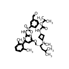 Cc1cccc(C)c1-c1cc(OC[C@@H](CC(C)C)N(C)[C@H]2C[C@@H](NC(=O)OC(C)C)C2)nc(NS(=O)(=O)c2cccc(C=O)c2)n1